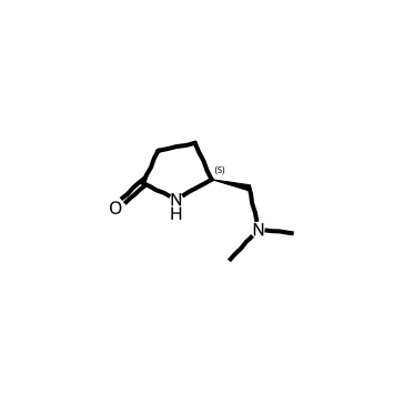 CN(C)C[C@@H]1CCC(=O)N1